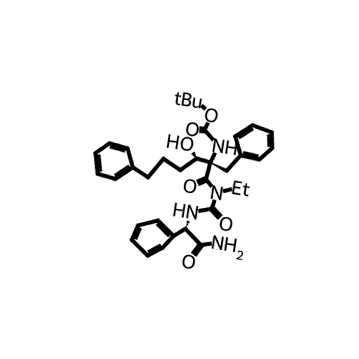 CCN(C(=O)N[C@H](C(N)=O)c1ccccc1)C(=O)[C@@](Cc1ccccc1)(NC(=O)OC(C)(C)C)[C@H](O)CCCc1ccccc1